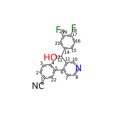 N#Cc1cccc(-c2ccncc2C(O)c2ccc(F)c(F)c2)c1